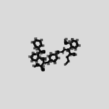 CCCC(=O)N(CCOc1ccc(CC(Nc2ccccc2C(=O)c2ccccc2)C(=O)OC)cc1)c1ccccc1OC